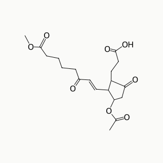 COC(=O)CCCCC(=O)C=CC1C(OC(C)=O)CC(=O)C1CCC(=O)O